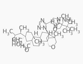 CC(C)[C@@H](C)[C@@]1(C)CC[C@]2(C)[C@H]3CC[C@@H]4[C@@]5(COC[C@@]4(C)[C@@H](OC[C@](C)(N)C(C)(C)C)[C@H](n4ncnc4-c4cn(C)cn4)C5)C3=CC[C@@]2(C)[C@@H]1C(=O)O